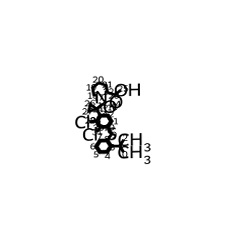 CC(C)c1ccccc1Sc1ccc(C2(C(=O)N3CCCCC3C(=O)O)CC2)c(Cl)c1Cl